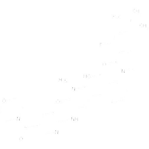 Cn1cc(-c2cccc(-n3ccc4cc(C(C)(C)C)cc(F)c4c3=O)c2CO)cc(Nc2ccc(C(=O)N3CCOCC3)cn2)c1=O